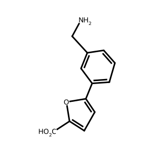 NCc1cccc(-c2ccc(C(=O)O)o2)c1